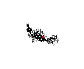 CC[C@H](CC[C@@]1(C)[C@H](C)CC[C@]2(C)[C@@H]1CC[C@@H]1C3=C(C(C)C)C(=O)C[C@]3([C@@H](O)c3nnc(-c4ccc(C#N)cc4)o3)CC[C@]12C)OC(=O)CC(C)(C)C(=O)O